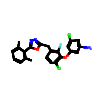 Cc1cccc(C)c1-c1nnc(Cc2ccc(Cl)c(Oc3cc(N)cc(Cl)c3)c2F)o1